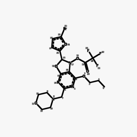 CCCOc1nc(CN2CCOCC2)nc2c1N(OC(=O)C(F)(F)F)C(c1ccc(Br)o1)O2